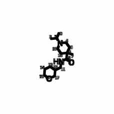 CC(C)N1CCC(C)(C(=O)NCC2CCCOC2)CC1